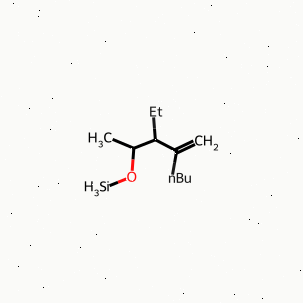 C=C(CCCC)C(CC)C(C)O[SiH3]